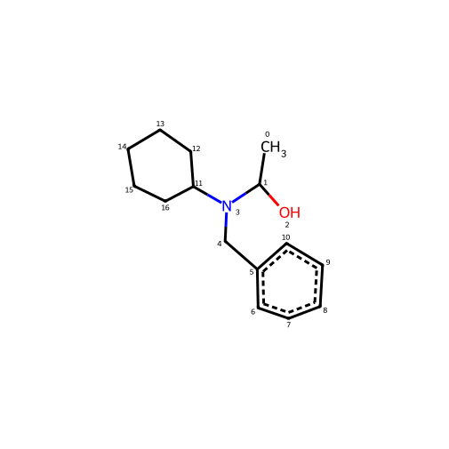 CC(O)N(Cc1ccccc1)C1CCCCC1